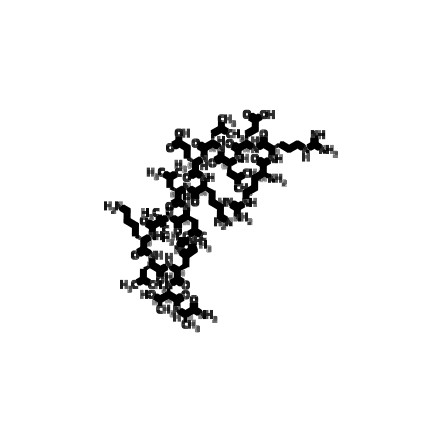 CC(C)C[C@H](NC(=O)[C@H](CC(C)C)NC(=O)[C@H](CCC(=O)O)NC(=O)[C@H](CCCNC(=N)N)NC(=O)[C@@H](N)CCCNC(=N)N)C(=O)N[C@@H](CCC(=O)O)C(=O)N[C@@H](CCCCN)C(=O)N[C@@H](CC(C)C)C(=O)N[C@@H](CC(C)C)C(=O)NC(C)(C)C(=O)N[C@@H](CCCCN)C(=O)N[C@@H](CC(C)C)C(=O)N[C@@H](Cc1c[nH]cn1)C(=O)N[C@H](C(=O)N[C@@H](C)C(N)=O)[C@@H](C)O